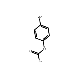 CCC(=O)Oc1ccc(C(C)=O)cc1